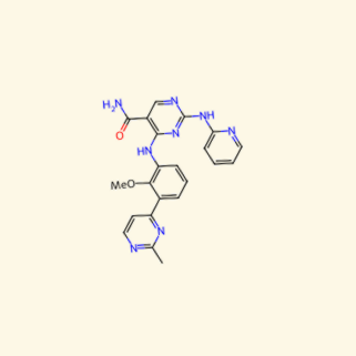 COc1c(Nc2nc(Nc3ccccn3)ncc2C(N)=O)cccc1-c1ccnc(C)n1